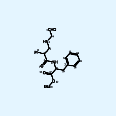 CC(C)C(CNCC=O)C(=O)NC(Cc1ccccc1)C(=O)OC(C)(C)C